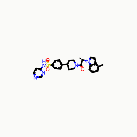 Cc1cccc2c1ccn2[C@H](C)C(=O)N1CCC(c2ccc(S(=O)(=O)Nc3ccncn3)cc2)CC1